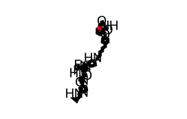 O=C1Cc2cccc(Oc3ccc(CCCCCNC[C@H]4CC[C@H](n5cc(NC(=O)c6coc(-c7ccnc(NCC8CC8)c7)n6)c(C(F)F)n5)CC4)cc3)c2C(=O)N1